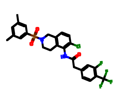 Cc1cc(C)cc(S(=O)(=O)N2CCc3c(ccc(Cl)c3NC(=O)Cc3ccc(C(F)(F)F)c(F)c3)C2)c1